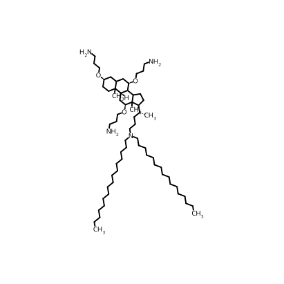 CCCCCCCCCCCCCCCCN(CCCCCCCCCCCCCCCC)CCC[C@@H](C)C1CCC2C3[C@H](OCCCN)CC4C[C@H](OCCCN)CCC4(C)[C@H]3C[C@H](OCCCN)C21C